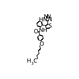 CCCC/C=C/COc1ccc(C(=O)Nc2ccccc2-c2ccsc2-c2nnn[nH]2)cc1